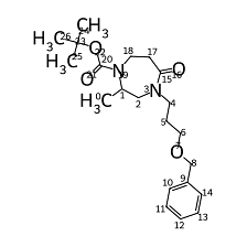 CC1CN(CCCOCc2ccccc2)C(=O)CCN1C(=O)OC(C)(C)C